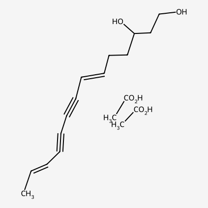 CC(=O)O.CC(=O)O.CC=CC#CC#CC=CCCC(O)CCO